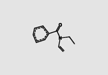 C=CN(CC)C(=O)c1ccccc1